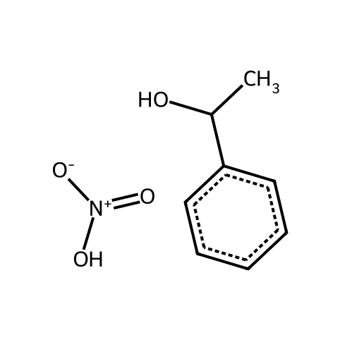 CC(O)c1ccccc1.O=[N+]([O-])O